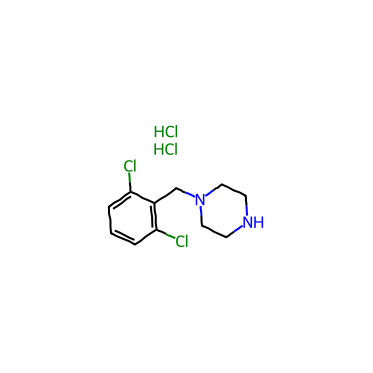 Cl.Cl.Clc1cccc(Cl)c1CN1CCNCC1